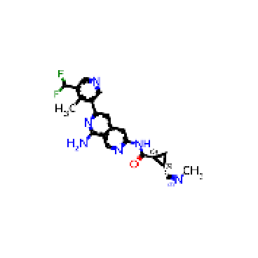 C/N=C\[C@H]1C[C@@H]1C(=O)Nc1cc2cc(-c3cncc(C(F)F)c3C)nc(N)c2cn1